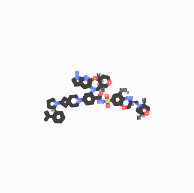 C=C(C)c1ccccc1[C@@H]1CCCN1C1CC2(CCN(c3ccc(C(=O)NS(=O)(=O)c4cc5c(c([N+](=O)[O-])c4)N[C@H](CN4C[C@H]6C[C@@H]4CO6)CO5)c(N4C[C@H]5COCC[C@@H]5Oc5nc6[nH]ccc6cc54)c3)CC2)C1